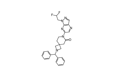 O=C1CC2(CCN1c1cnc3cnn(CC(F)F)c3n1)CN(C(c1ccccc1)c1ccccc1)C2